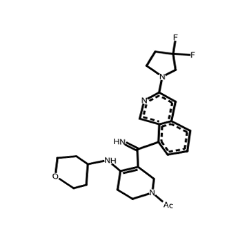 CC(=O)N1CCC(NC2CCOCC2)=C(C(=N)c2cccc3cc(N4CCC(F)(F)C4)ncc23)C1